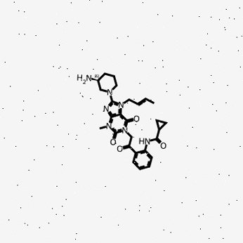 CC=CCn1c(N2CCC[C@H](N)C2)nc2c1c(=O)n(CC(=O)c1ccccc1NC(=O)C1CC1)c(=O)n2C